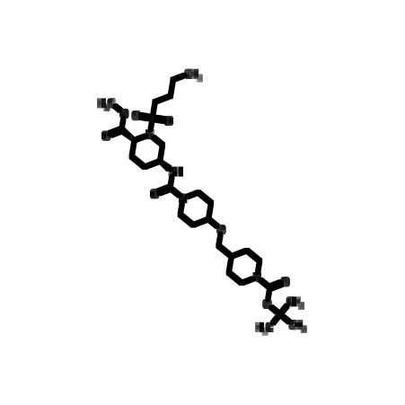 CCCCS(=O)(=O)N1C[C@@H](NC(=O)N2CCC(OCC3CCN(C(=O)OC(C)(C)C)CC3)CC2)CC[C@H]1C(=O)OC